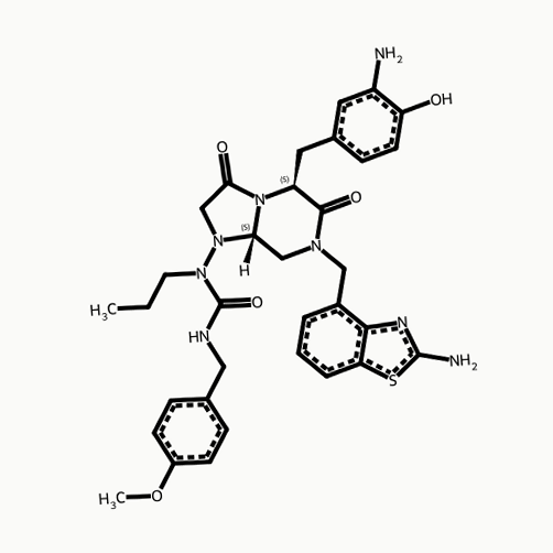 CCCN(C(=O)NCc1ccc(OC)cc1)N1CC(=O)N2[C@@H](Cc3ccc(O)c(N)c3)C(=O)N(Cc3cccc4sc(N)nc34)C[C@@H]21